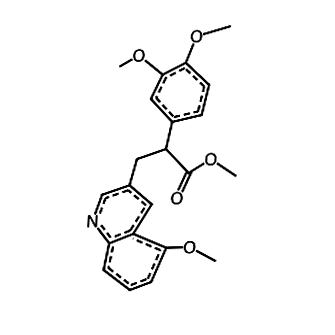 COC(=O)C(Cc1cnc2cccc(OC)c2c1)c1ccc(OC)c(OC)c1